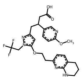 COc1ccc(C(CC(=O)O)Cc2cc(OCCc3ccc4c(n3)NCCC4)n(CC(F)(F)F)n2)cn1